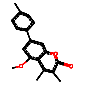 COc1cc(-c2ccc(C)cc2)cc2oc(=O)c(C)c(C)c12